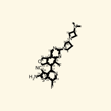 CN(C)C1CN([C@@H]2CCN(c3ncc4c5c(c(-c6ncc(F)c7sc(N)c(C#N)c67)c(F)c4n3)COC5)C2)C1